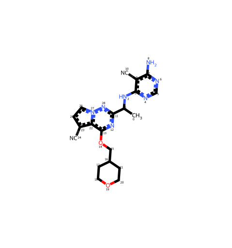 CC(Nc1ncnc(N)c1C#N)c1nc(OCC2CCOCC2)c2c(C#N)ccn2n1